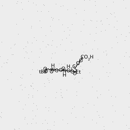 CCC(CCC(C)CCCOCCOCCC(=O)O)C(=O)COCCOCCNC(=O)COCCOCCNC(=O)CCCC(=O)OC(C)(C)C